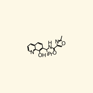 Cc1nc(C(=O)NC(c2ccc3cccnc3c2O)C(C)C)co1